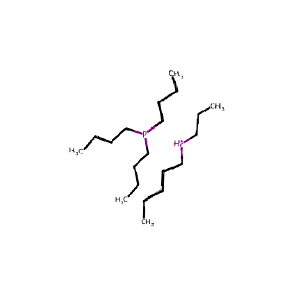 CCCCCPCCC.CCCCP(CCCC)CCCC